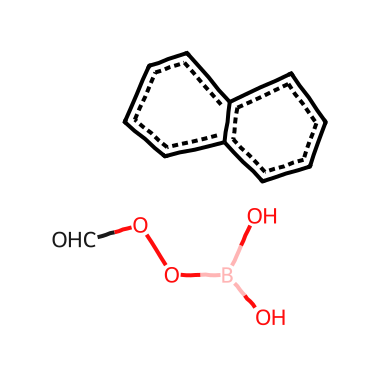 O=COOB(O)O.c1ccc2ccccc2c1